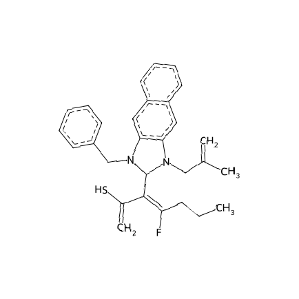 C=C(C)CN1c2cc3ccccc3cc2N(Cc2ccccc2)C1/C(C(=C)S)=C(/F)CCC